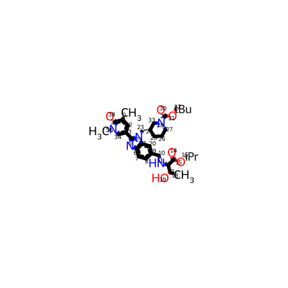 Cc1cc(-c2nc3ccc(CNC(C(=O)OC(C)C)C(C)O)cc3n2C[C@H]2CCCN(C(=O)OC(C)(C)C)C2)cn(C)c1=O